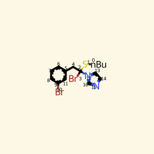 CCCCSC(Br)(Cc1cccc(Br)c1)n1ccnc1